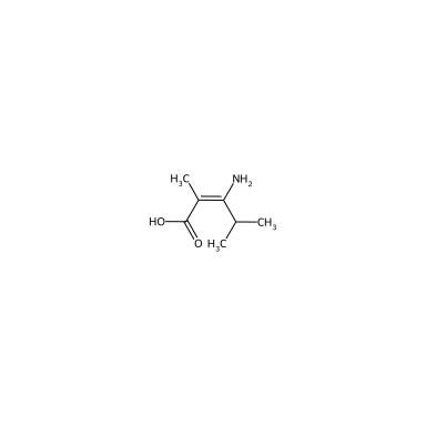 C/C(C(=O)O)=C(\N)C(C)C